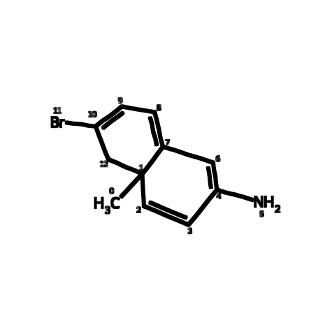 CC12C=CC(N)=CC1=CC=C(Br)C2